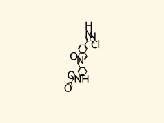 O=C(Nc1cccc(Cn2ccc3cc(-c4c[nH]nc4Cl)ccc3c2=O)c1)C1COC1